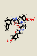 CC(C)[C@H](NC(=O)[C@H](Cc1ccc(O)cc1)NC(=O)Cc1ccc2ccccc2c1)C(=O)NC(C=O)Cc1ccc(O)cc1